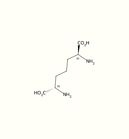 N[C@@H](CCC[C@H](N)C(=O)O)C(=O)O